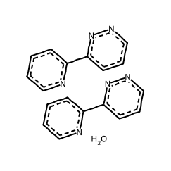 O.c1ccc(-c2cccnn2)nc1.c1ccc(-c2cccnn2)nc1